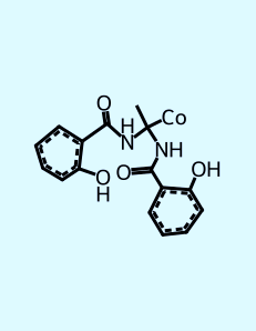 C[C]([Co])(NC(=O)c1ccccc1O)NC(=O)c1ccccc1O